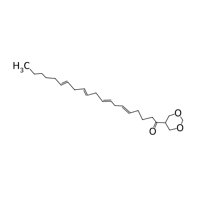 CCCCCC=CCC=CCC=CCC=CCCCC(=O)C1COCOC1